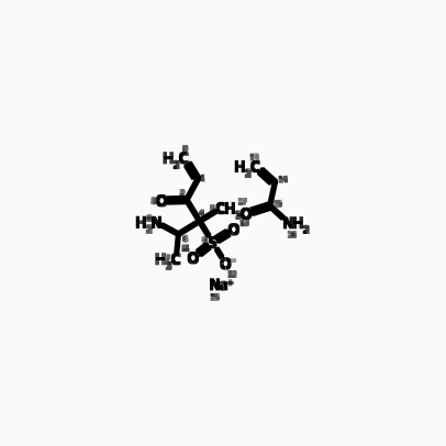 C=CC(=O)C(C)(C(C)N)S(=O)(=O)[O-].C=CC(N)=O.[Na+]